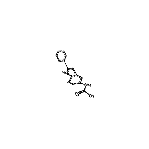 O=C(O)Nc1cnc2[nH]c(-c3ccccc3)cc2c1